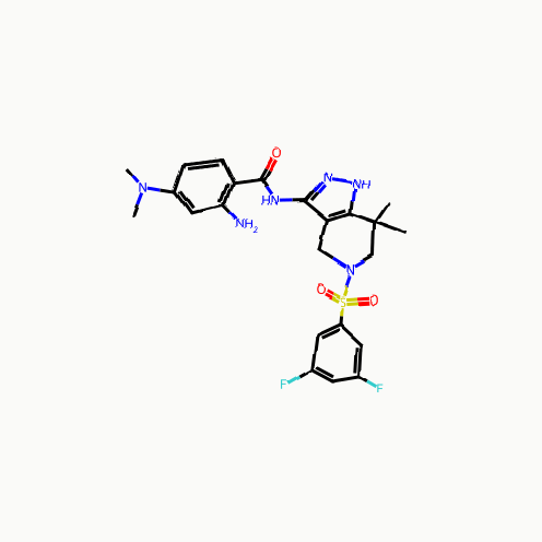 CN(C)c1ccc(C(=O)Nc2n[nH]c3c2CN(S(=O)(=O)c2cc(F)cc(F)c2)CC3(C)C)c(N)c1